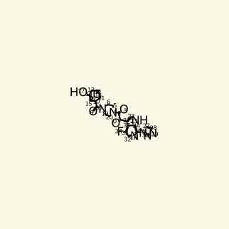 O=C(C(=O)N1CCN(C(=O)C2CC3CCC2C(O)C3)CC1)c1c[nH]c2c(-n3ccnn3)ncc(F)c12